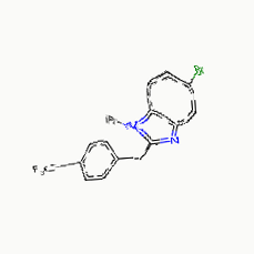 CC(C)n1c(Cc2ccc(C(F)(F)F)cc2)nc2cc(Br)ccc21